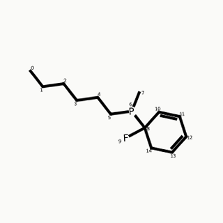 CCCCCCP(C)C1(F)C=CC=CC1